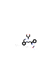 COc1cc2c(cc1OC)C(CCc1cn(CC(N)=O)c3ccccc13)N(CC1CCOCC1)CC2